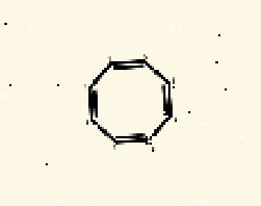 B1=CC=CC=CC=C1